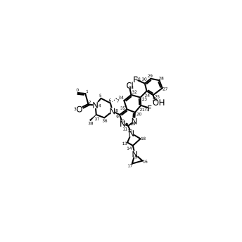 C=CC(=O)N1C[C@H](C)N(c2nc(N3CC(N4CC4)C3)nc3c(F)c(-c4c(O)cccc4F)c(Cl)cc23)C[C@H]1C